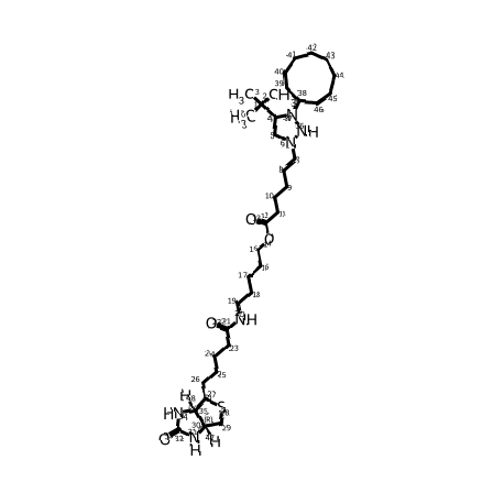 CC(C)(C)C1CN(CCCCCC(=O)OCCCCCNC(=O)CCCC[C@H]2SC[C@@H]3NC(=O)N[C@@H]32)NN1C1CCCCCCCC1